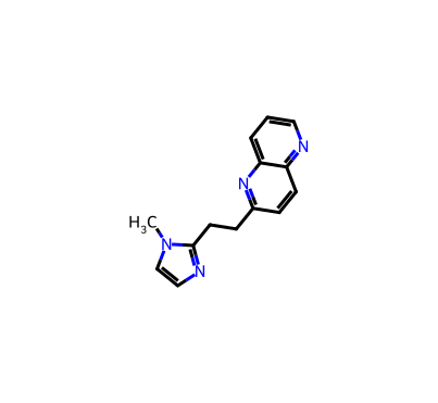 Cn1ccnc1CCc1ccc2ncccc2n1